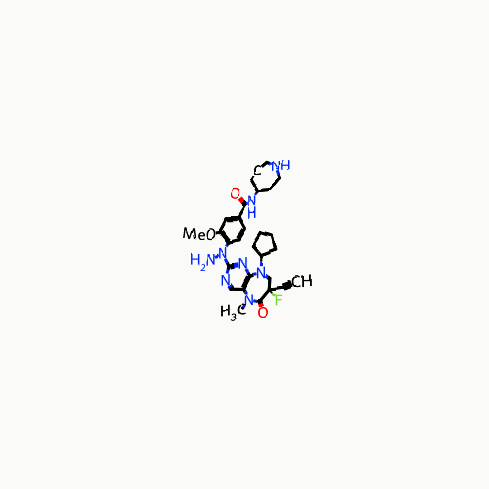 C#C[C@@]1(F)CN(C2CCCC2)c2nc(N(N)c3ccc(C(=O)NC4CCCNCC4)cc3OC)ncc2N(C)C1=O